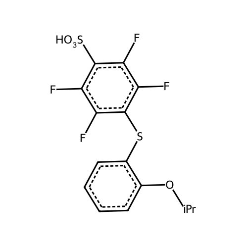 CC(C)Oc1ccccc1Sc1c(F)c(F)c(S(=O)(=O)O)c(F)c1F